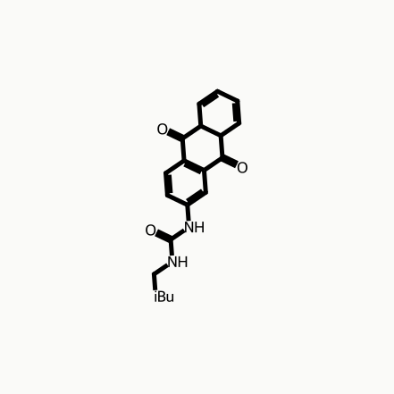 CCC(C)CNC(=O)Nc1ccc2c(c1)C(=O)C1C=CC=CC1C2=O